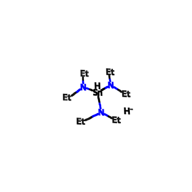 CC[N](CC)[SnH]([N](CC)CC)[N](CC)CC.[H-]